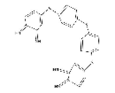 N=C1C=CC(Sc2ccc(Sc3ccc(SC4=CC(=N)C(=N)C=C4)cc3)cc2)=CC1=N